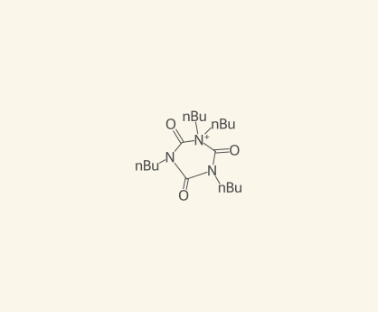 CCCCN1C(=O)N(CCCC)C(=O)[N+](CCCC)(CCCC)C1=O